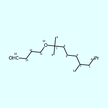 CC(C)CC(C)CCCC(C)(C)OCCCC=O